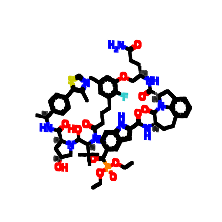 CCOP(=O)(OCC)C(=O)c1ccc2[nH]c(C(=O)N[C@H]3CCc4cccc5c4N(C3=O)[C@H](C(=O)N[C@@H](CCC(N)=O)COc3cc(C)cc(CCCC(=O)N[C@H](C(O)N4C[C@H](O)C[C@H]4C(=O)N[C@@H](C)c4ccc(-c6scnc6C)cc4)C(C)(C)C)c3F)C5)cc2c1